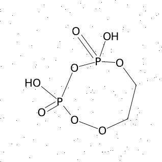 O=P1(O)OCCOOP(=O)(O)O1